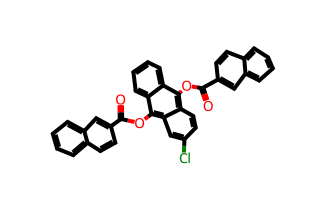 O=C(Oc1c2ccccc2c(OC(=O)c2ccc3ccccc3c2)c2cc(Cl)ccc12)c1ccc2ccccc2c1